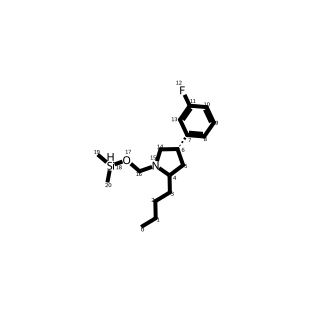 CCCCC1C[C@@H](c2cccc(F)c2)CN1CO[SiH](C)C